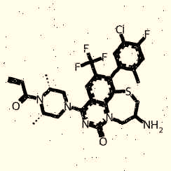 C=CC(=O)N1[C@H](C)CN(c2nc(=O)n3c4c(c(-c5cc(Cl)c(F)cc5C)c(C(F)(F)F)cc24)SCC(N)C3)C[C@@H]1C